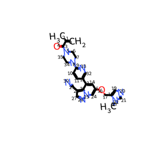 C=C(C)C(=O)N1CCN(c2ccc(-c3cc(OCc4cncn4C)cn4ncc(C#N)c34)cn2)CC1